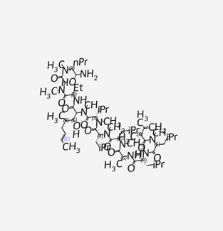 C=C(C)[C@@H](C)C(=O)N(C)[C@@H](CC(C)C)C(=O)N[C@H](CC(C)C)C(=O)N[C@@H](C)C(=O)N(C)[C@H](CC(C)C)C(=O)N(C)[C@H](CC(C)C)C(=O)N(C)[C@H](C(=O)N(C)C(C(=O)N[C@H](CC)C(=O)N(C)CC(=O)N(C)[C@H](CCC)C(N)O)[C@@H](O)[C@H](C)C/C=C/C)C(C)C